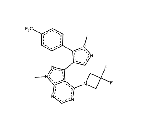 Cn1ncc(-c2nn(C)c3ncnc(N4CC(F)(F)C4)c23)c1-c1ccc(C(F)(F)F)cc1